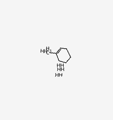 CC1=CCCCC1.[HH].[HH].[HH].[HH]